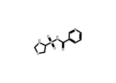 O=C(NS(=O)(=O)C1COCN1)c1cccnc1